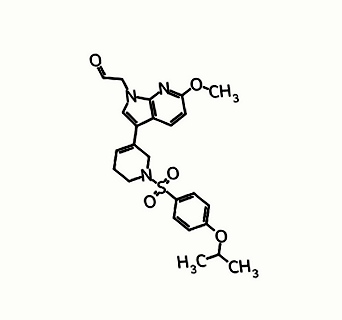 COc1ccc2c(C3=CCCN(S(=O)(=O)c4ccc(OC(C)C)cc4)C3)cn(CC=O)c2n1